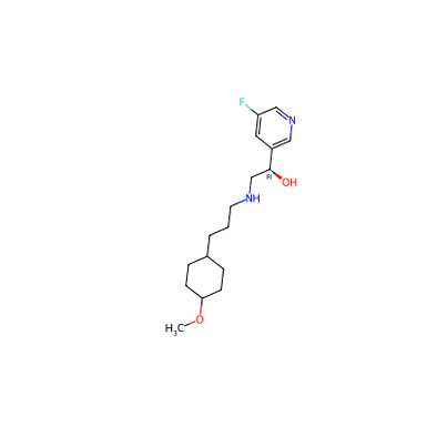 COC1CCC(CCCNC[C@H](O)c2cncc(F)c2)CC1